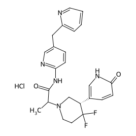 CC(C(=O)Nc1ccc(Cc2ccccn2)cn1)N1CCC(F)(F)[C@@H](c2ccc(=O)[nH]c2)C1.Cl